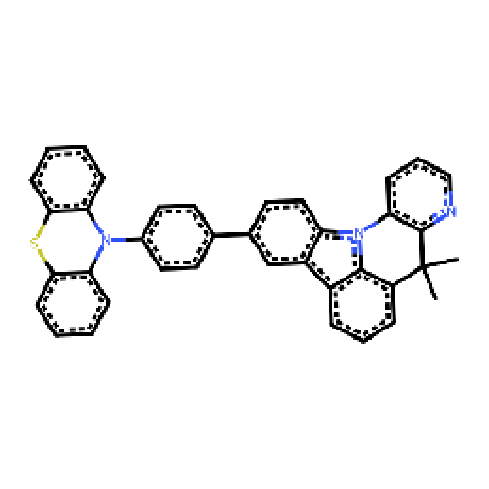 CC1(C)c2ncccc2-n2c3ccc(-c4ccc(N5c6ccccc6Sc6ccccc65)cc4)cc3c3cccc1c32